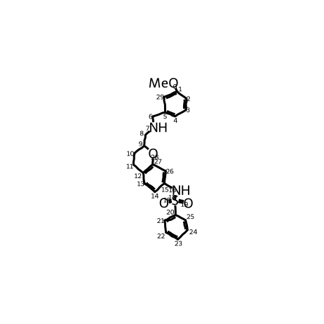 COc1cccc(CNCC2CCc3ccc(NS(=O)(=O)c4ccccc4)cc3O2)c1